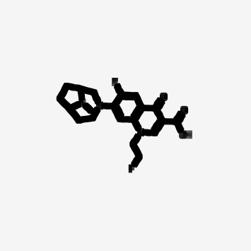 CN1C2CCC1CN(c1cc3c(cc1F)c(=O)c(C(=O)O)cn3CCF)CC2